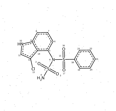 NS(=O)(=O)N(c1cccc2[nH]cc(Cl)c12)S(=O)(=O)c1ccccc1